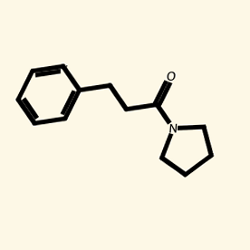 O=C(CCc1[c]cccc1)N1CCCC1